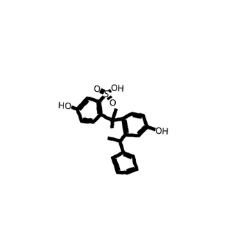 CC(c1ccccc1)c1cc(O)ccc1C(C)(C)c1ccc(O)cc1S(=O)(=O)O